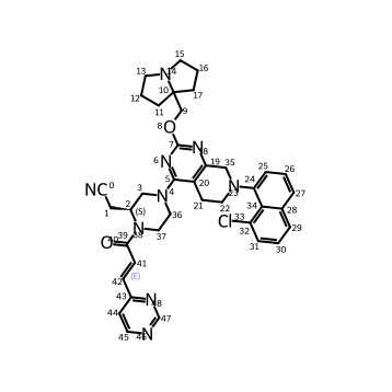 N#CC[C@H]1CN(c2nc(OCC34CCCN3CCC4)nc3c2CCN(c2cccc4cccc(Cl)c24)C3)CCN1C(=O)/C=C/c1ccncn1